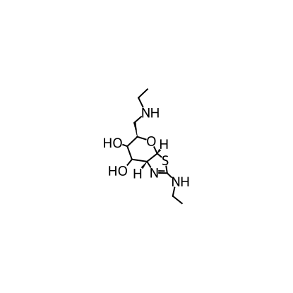 CCNC[C@H]1O[C@@H]2SC(NCC)=N[C@@H]2C(O)C1O